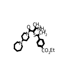 C=C(S/C(C(=O)N1CCC(N2CCCCCC2)CC1)=C(/C)N)c1ccc(C(=O)OCC)cc1